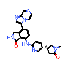 CN1C[C@@H](c2ccc(Nc3ccc(-c4cnc5cnccn45)c4c3C(=O)NC4)nc2)CC1=O